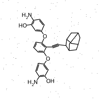 Nc1ccc(Oc2cccc(Oc3ccc(N)c(O)c3)c2C#CC2C3CC4CC(C3)CC2C4)cc1O